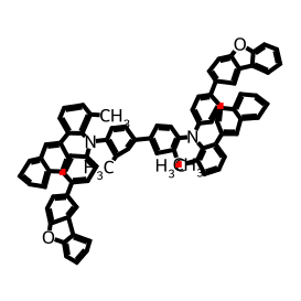 Cc1cc(-c2ccc(N(c3ccc(-c4ccc5oc6ccccc6c5c4)cc3)c3c(C)cccc3-c3ccc4ccccc4c3)c(C)c2)ccc1N(c1ccc(-c2ccc3oc4ccccc4c3c2)cc1)c1c(C)cccc1-c1ccc2ccccc2c1